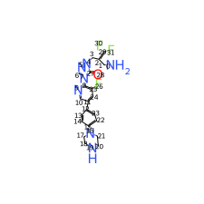 NCC(Cn1ncn(-c2ncc(-c3ccc(N4CCNCC4)cc3)cc2F)c1=O)=C(F)F